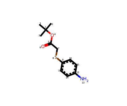 CC(C)(C)OC(=O)CSc1ccc(N)cc1